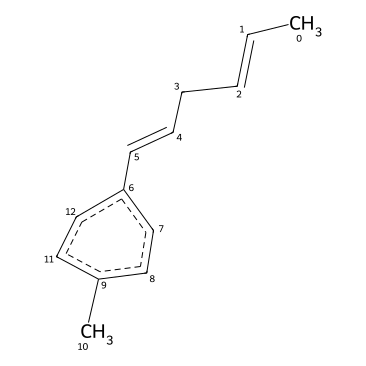 CC=CCC=Cc1ccc(C)cc1